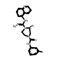 CC(C)[C@H]1CN(C(=O)Nc2cccc(F)c2)CCN1/C(=N\C#N)Nc1cccc2ncccc12